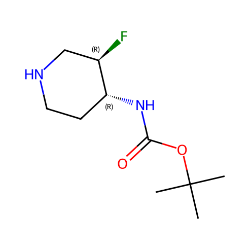 CC(C)(C)OC(=O)N[C@@H]1CCNC[C@H]1F